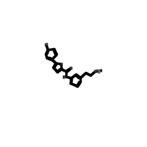 O=C(O)CCc1cccc(NC(=O)c2ccc(-c3ccc(Cl)cc3)o2)c1